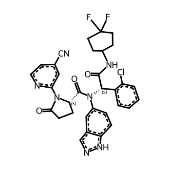 N#Cc1ccnc(N2C(=O)CC[C@H]2C(=O)N(c2ccc3[nH]ncc3c2)[C@H](C(=O)NC2CCC(F)(F)CC2)c2ccccc2Cl)c1